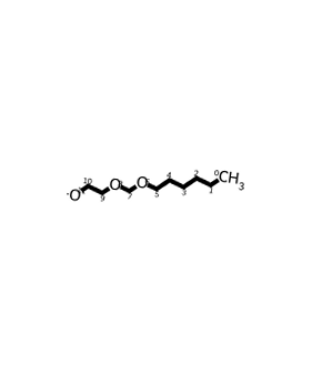 CCCCCCOCOCC[O]